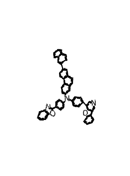 c1ccc2cc(-c3ccc4c(ccc5cc(N(c6ccc(-c7nc8ccccc8o7)cc6)c6ccc(-c7cncc8c7oc7ccccc78)cc6)ccc54)c3)ccc2c1